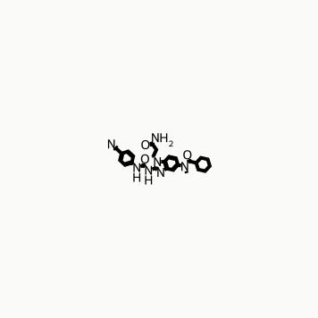 CN(C(=O)C1CCCCC1)c1ccc2c(c1)nc(NC(=O)Nc1ccc(C#N)cc1)n2CCC(N)=O